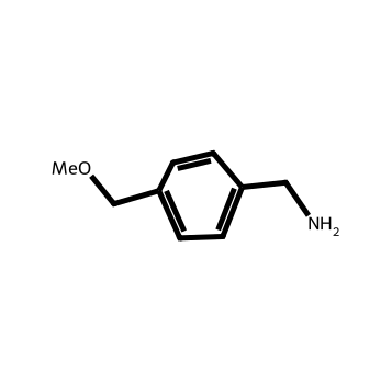 COCc1ccc(CN)cc1